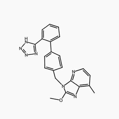 COc1nc2c(C)ccnc2n1Cc1ccc(-c2ccccc2-c2nnn[nH]2)cc1